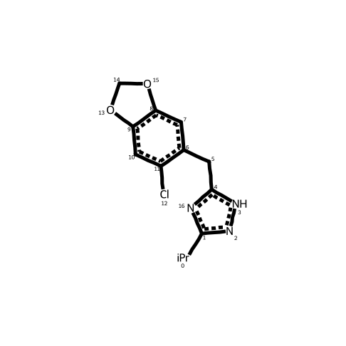 CC(C)c1n[nH]c(Cc2cc3c(cc2Cl)OCO3)n1